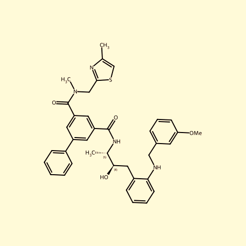 COc1cccc(CNc2ccccc2C[C@@H](O)[C@H](C)NC(=O)c2cc(C(=O)N(C)Cc3nc(C)cs3)cc(-c3ccccc3)c2)c1